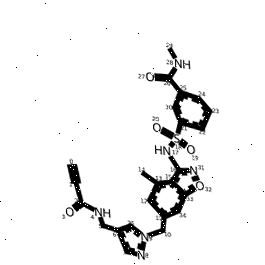 C#CC(=O)NCc1cnn(Cc2cc(C)c3c(NS(=O)(=O)c4cccc(C(=O)NC)c4)noc3c2)c1